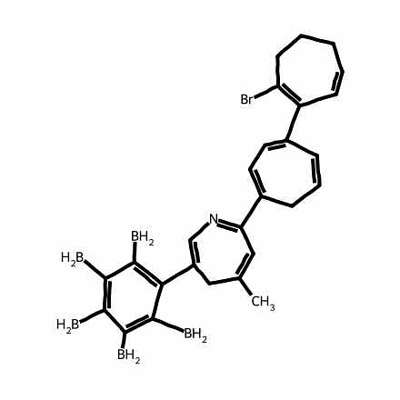 Bc1c(B)c(B)c(C2=CN=C(C3=CC=C(C4=C(Br)CCCC=C4)C=CC3)C=C(C)C2)c(B)c1B